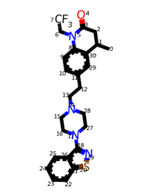 CC1CC(=O)N(CC(F)(F)F)c2ccc(CCN3CCN(c4nsc5ccccc45)CC3)cc21